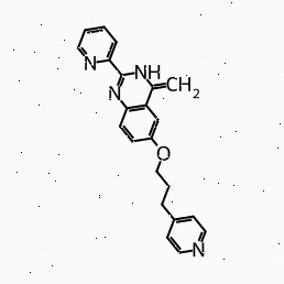 C=C1NC(c2ccccn2)=Nc2ccc(OCCCc3ccncc3)cc21